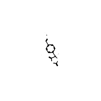 C[C@@]1(c2ccc(C=NN)cc2)NC(=O)NC1=O.Cl